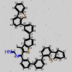 Cc1c(/C(=N\C=N)c2cccc(-c3cccc(-c4cccc5c4sc4ccccc45)c3)c2)sc2ccc(-c3cccc(-c4cccc5c4sc4ccccc45)c3)cc12